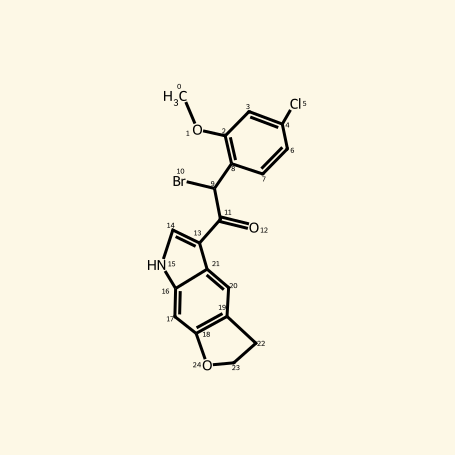 COc1cc(Cl)ccc1C(Br)C(=O)c1c[nH]c2cc3c(cc12)CCO3